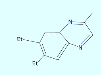 CCc1cc2ncc(C)nc2cc1CC